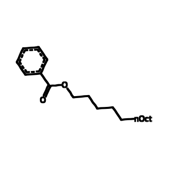 CCCCCCCCCCCCCOC(=O)c1ccccc1